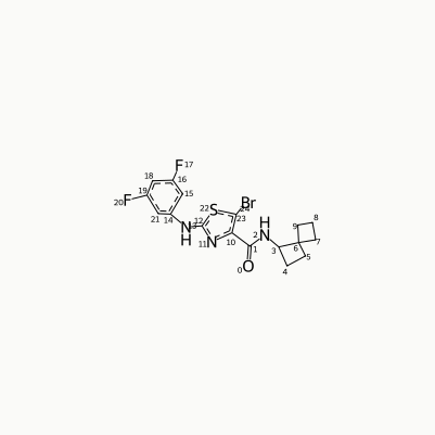 O=C(NC1CCC12CCC2)c1nc(Nc2cc(F)cc(F)c2)sc1Br